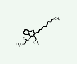 CCCCCCCC=Cc1nc2ccccc2c(OC(=O)CC)c1CC